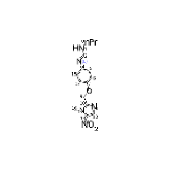 CCCN/C=N/c1ccc(OCc2ncc([N+](=O)[O-])n2C)cc1